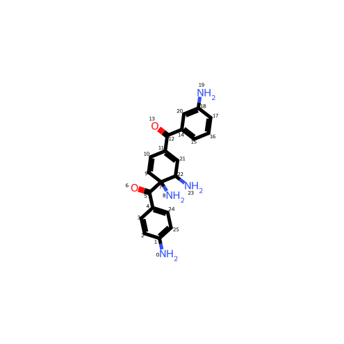 Nc1ccc(C(=O)C2(N)C=CC(C(=O)c3cccc(N)c3)=CC2N)cc1